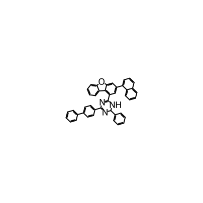 c1ccc(-c2ccc(C3=NC(c4ccccc4)NC(c4cc(-c5cccc6ccccc56)cc5oc6ccccc6c45)=N3)cc2)cc1